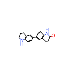 O=C1CCc2cc(-c3ccc4c(c3)CCCN4)ccc2N1